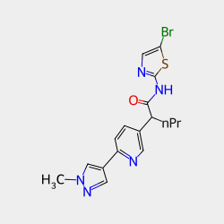 CCCC(C(=O)Nc1ncc(Br)s1)c1ccc(-c2cnn(C)c2)nc1